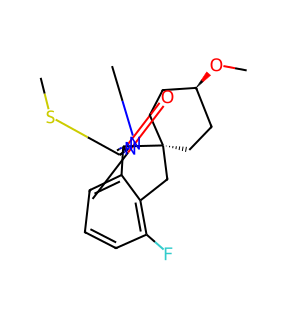 CO[C@H]1CC[C@]2(CC1)Cc1c(F)cccc1C21N=C(SC)N(C)C1=O